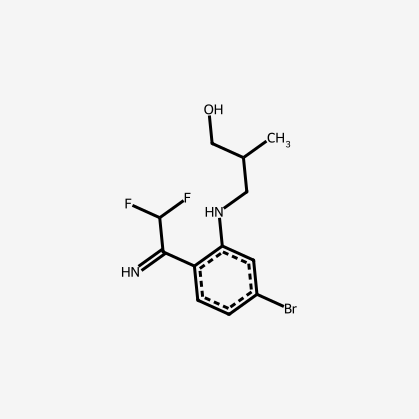 CC(CO)CNc1cc(Br)ccc1C(=N)C(F)F